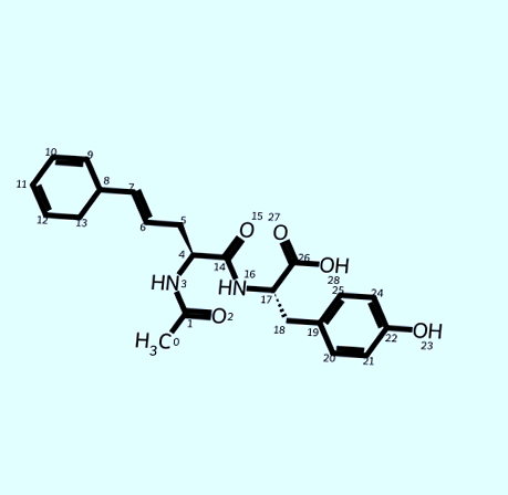 CC(=O)N[C@@H](CC=CC1C=CC=CC1)C(=O)N[C@@H](Cc1ccc(O)cc1)C(=O)O